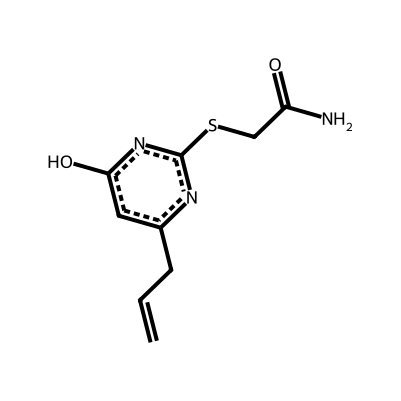 C=CCc1cc(O)nc(SCC(N)=O)n1